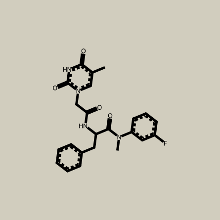 Cc1cn(CC(=O)NC(Cc2ccccc2)C(=O)N(C)c2cccc(F)c2)c(=O)[nH]c1=O